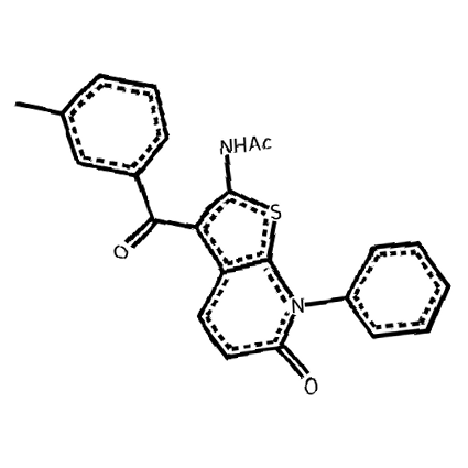 CC(=O)Nc1sc2c(ccc(=O)n2-c2ccccc2)c1C(=O)c1cccc(C)c1